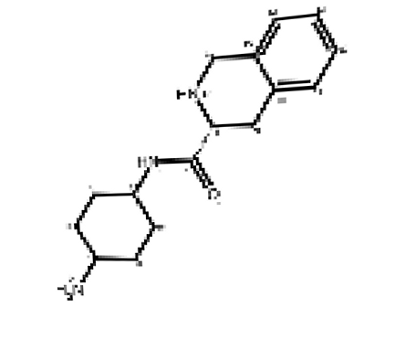 NC1CCC(NC(=O)[C@H]2Cc3ccccc3CN2)CC1